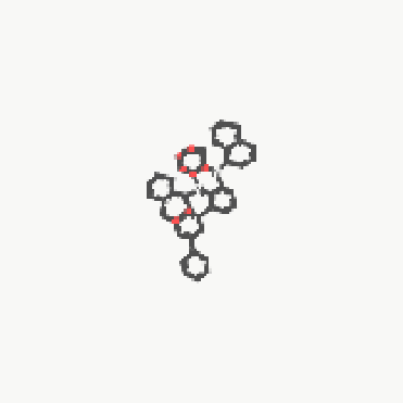 c1ccc(-c2cccc(-c3cccc(N(c4ccccc4)c4cccc5ccccc45)c3N(c3ccccc3)c3cccc4ccccc34)c2)cc1